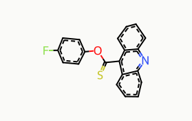 Fc1ccc(OC(=S)c2c3ccccc3nc3ccccc23)cc1